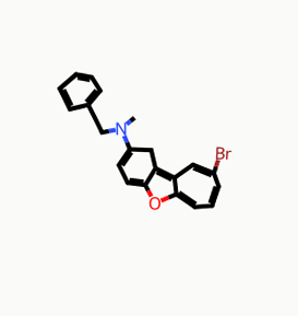 CN(Cc1ccccc1)C1=CC=c2oc3c(c2C1)C=C(Br)C=CC=3